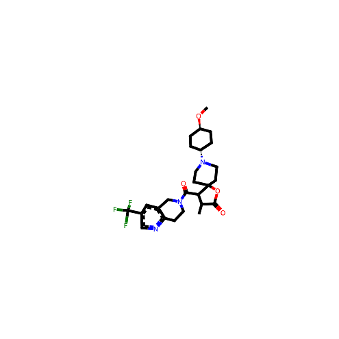 CO[C@H]1CC[C@H](N2CCC3(CC2)OC(=O)C(C)C3C(=O)N2CCc3ncc(C(F)(F)F)cc3C2)CC1